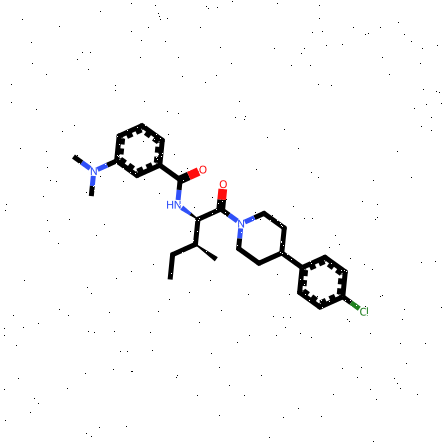 CC[C@H](C)[C@@H](NC(=O)c1cccc(N(C)C)c1)C(=O)N1CCC(c2ccc(Cl)cc2)CC1